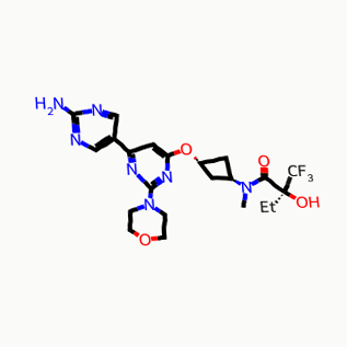 CC[C@](O)(C(=O)N(C)[C@H]1C[C@H](Oc2cc(-c3cnc(N)nc3)nc(N3CCOCC3)n2)C1)C(F)(F)F